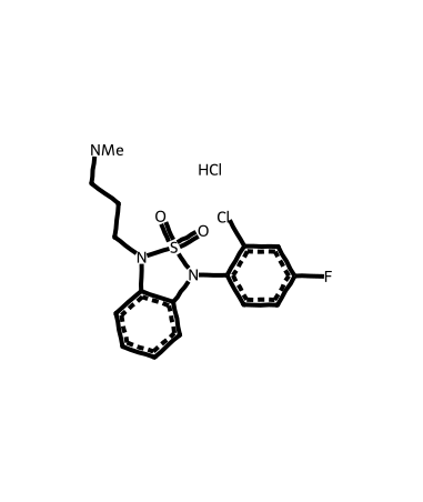 CNCCCN1c2ccccc2N(c2ccc(F)cc2Cl)S1(=O)=O.Cl